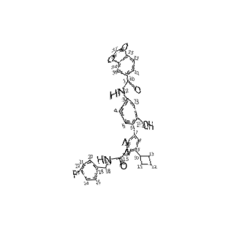 O=C(Nc1ccc(-c2cc(C3CCC3)n(C(=O)NCc3ccc(F)cc3)n2)c(O)c1)c1ccc2c(c1)OCO2